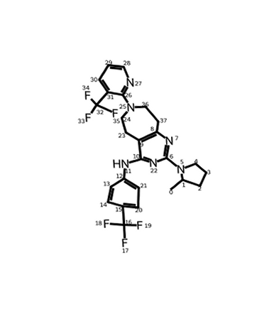 CC1CCCN1c1nc2c(c(Nc3ccc(C(F)(F)F)cc3)n1)CCN(c1ncccc1C(F)(F)F)CC2